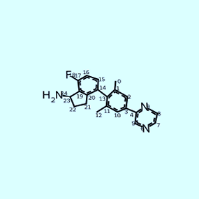 Cc1cc(-c2cnccn2)cc(C)c1-c1ccc(F)c2c1CC[C@H]2N